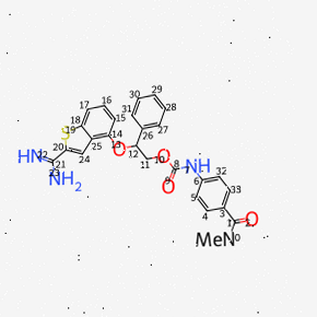 CNC(=O)c1ccc(NC(=O)OCC(Oc2cccc3sc(C(=N)N)cc23)c2ccccc2)cc1